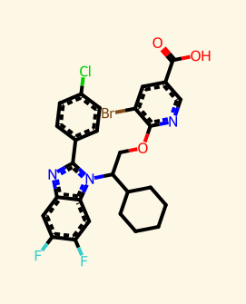 O=C(O)c1cnc(OCC(C2CCCCC2)n2c(-c3ccc(Cl)cc3)nc3cc(F)c(F)cc32)c(Br)c1